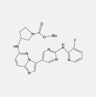 CC(C)(C)OC(=O)N1CCC(Nc2ccc3ncc(-c4cnc(Nc5ncccc5F)nc4)n3n2)C1